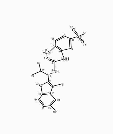 Cc1c([C@@H](NC(=S)Nc2cc(S(C)(=O)=O)ccc2N)C(C)C)oc2ccc(F)cc12